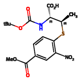 COC(=O)c1ccc(S[C@H](C)[C@H](NC(=O)OC(C)(C)C)C(=O)O)c([N+](=O)[O-])c1